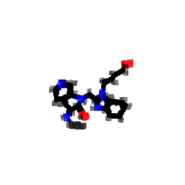 CO/N=C1\C(=O)N(Cc2nc3ccccc3n2CCCCO)c2cnccc21